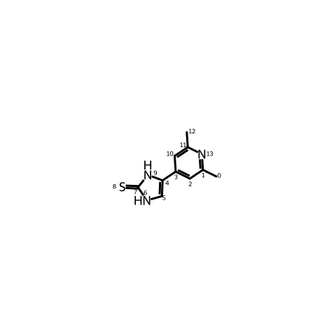 Cc1cc(-c2c[nH]c(=S)[nH]2)cc(C)n1